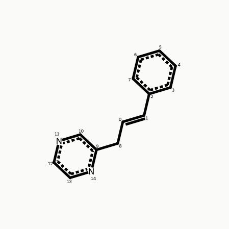 C(=Cc1ccccc1)Cc1cnccn1